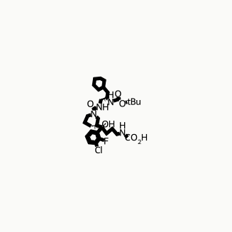 CC(C)(C)OC(=O)N[C@@H](CNC(=O)N1CCC[C@@H]([C@@](O)(CCCNC(=O)O)c2cccc(Cl)c2F)C1)CC1CCCCC1